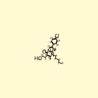 CCCCCn1c(C)c(CCO)c(=O)n2cc(-c3ccc(Cl)cc3)nc12